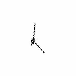 CCCCCCCCCCCCCC[n+]1ccn(CCC)c1CCCCCCCCCCCCC